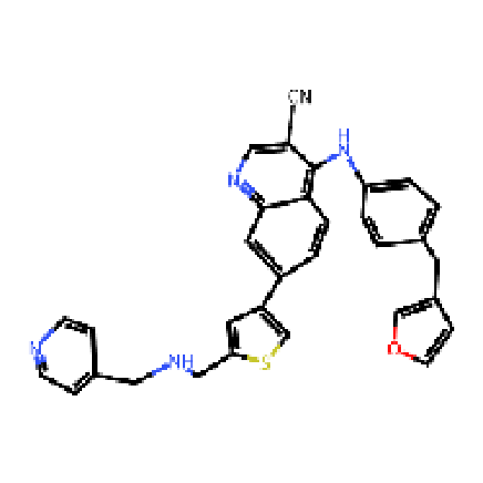 N#Cc1cnc2cc(-c3csc(CNCc4ccncc4)c3)ccc2c1Nc1ccc(Cc2ccoc2)cc1